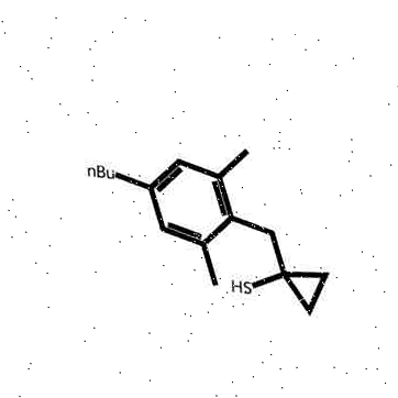 CCCCc1cc(C)c(CC2(S)CC2)c(C)c1